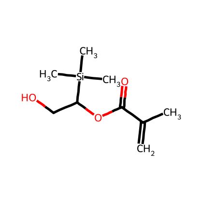 C=C(C)C(=O)OC(CO)[Si](C)(C)C